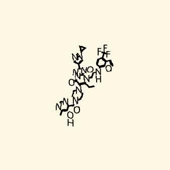 CCc1c(N2CCN(C(=O)c3ncnc(C)c3O)CC2)c(=O)n2nc(-c3cnn(C4CC4)c3)nc2n1CC(=O)Nc1ccc(C(F)(F)F)c2ccoc12